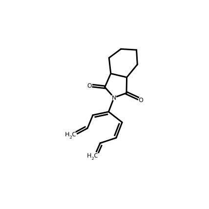 C=C/C=C\C(=C/C=C)N1C(=O)C2CCCCC2C1=O